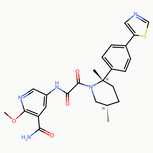 COc1ncc(NC(=O)C(=O)N2C[C@@H](C)CC[C@@]2(C)c2ccc(-c3cncs3)cc2)cc1C(N)=O